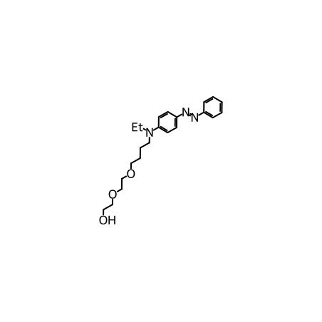 CCN(CCCCOCCOCCO)c1ccc(N=Nc2ccccc2)cc1